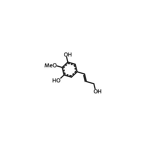 COc1c(O)cc(C=CCO)cc1O